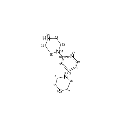 c1cc(N2CCSCC2)cc(N2CCNCC2)n1